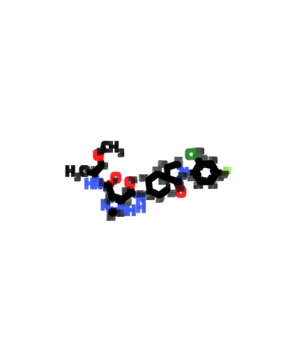 COCC(C)NC(=O)c1nc[nH]c1C(=O)N[C@H]1CC[C@@]2(CCN(c3ccc(F)cc3Cl)C2=O)CC1